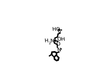 CB(O)CCCCC(N)(CCCN(C)Cc1ccc(C)c2ccccc12)C(=O)O